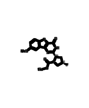 COc1ccc2oc3c(=O)[nH]c([C@@H]4C[C@H](F)CN4C(=O)OC(C)(C)C)nc3c2c1